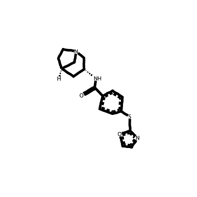 O=C(N[C@@H]1C[C@H]2CCN(C2)C1)c1ccc(Sc2ncco2)cc1